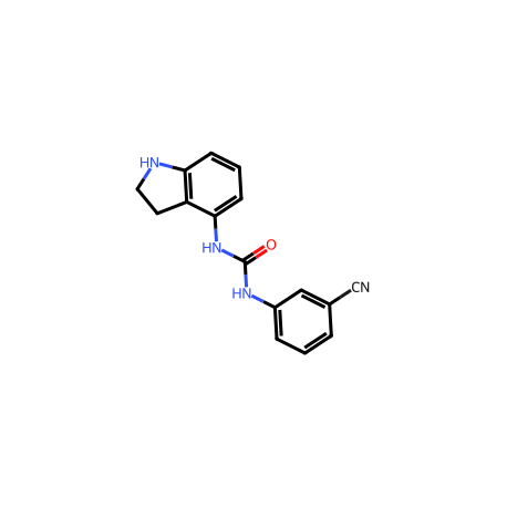 N#Cc1cccc(NC(=O)Nc2cccc3c2CCN3)c1